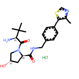 Cc1ncsc1-c1ccc(CNC(=O)[C@H]2C[C@H](O)CN2C(=O)[C@@H](N)C(C)(C)C)cc1.Cl